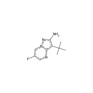 CC(C)(C)c1c(N)nn2cc(F)cnc12